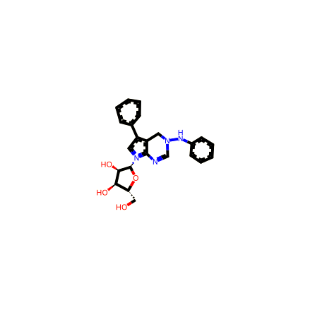 OC[C@H]1O[C@@H](n2cc(-c3ccccc3)c3c2N=CN(Nc2ccccc2)C3)[C@H](O)[C@@H]1O